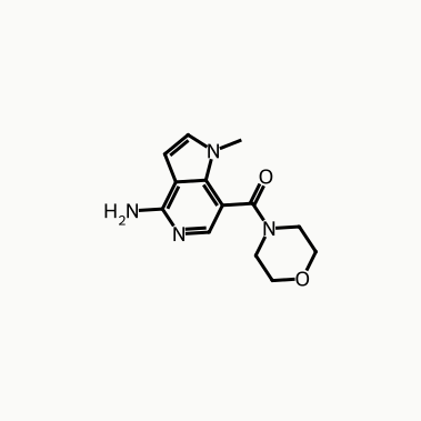 Cn1ccc2c(N)ncc(C(=O)N3CCOCC3)c21